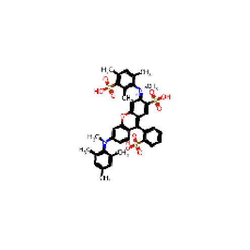 Cc1cc(C)c(N(C)c2ccc3c(-c4ccccc4S(=O)(=O)O)c4cc(S(=O)(=O)O)/c(=[N+](\C)c5c(C)cc(C)c(S(=O)(=O)O)c5C)cc-4oc3c2)c(C)c1